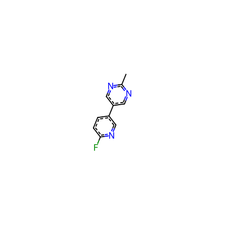 Cc1ncc(-c2ccc(F)nc2)cn1